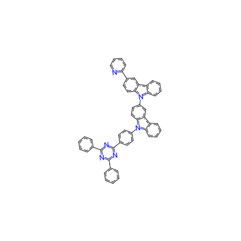 c1ccc(-c2nc(-c3ccccc3)nc(-c3ccc(-n4c5ccccc5c5cc(-n6c7ccccc7c7cc(-c8ccccn8)ccc76)ccc54)cc3)n2)cc1